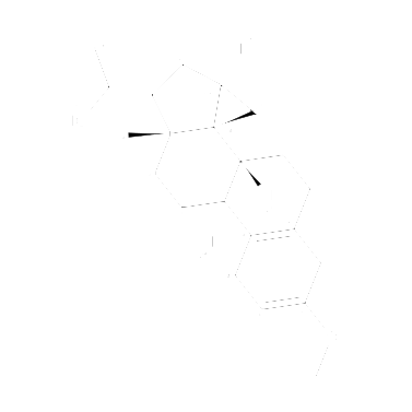 COC1=CCC2=C(C1)C[C@@H](C)[C@@H]1[C@@H]2CC[C@]2(C)[C@H](C(C)O)C[C@H]3C[C@@]312